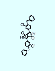 O=C1NC(c2ccc(Sc3ccccc3)c(Cl)c2)=C2C(=O)NC(c3ccc(Sc4ccccc4)c(Cl)c3)=C12